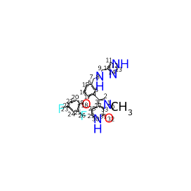 Cn1cc(-c2cc(CNCc3c[nH]cn3)ccc2Oc2ccc(F)cc2F)c2cc[nH]c(=O)c21